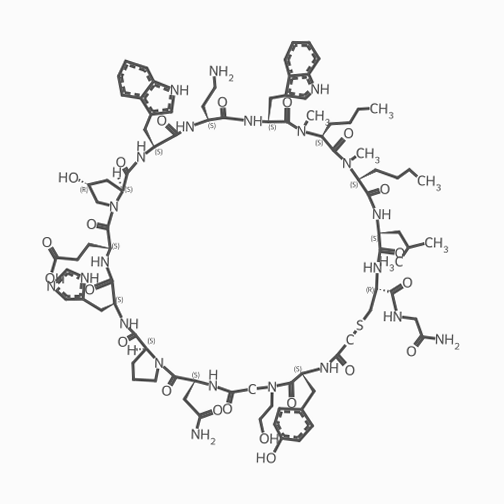 CCCC[C@H]1C(=O)N(C)[C@@H](CCCC)C(=O)N[C@@H](CC(C)C)C(=O)N[C@H](C(=O)NCC(N)=O)CSCC(=O)N[C@@H](Cc2ccc(O)cc2)C(=O)N(CCO)CC(=O)N[C@@H](CC(N)=O)C(=O)N2CCC[C@H]2C(=O)N[C@@H](Cc2cnc[nH]2)C(=O)N[C@@H](CCC(=O)O)C(=O)N2C[C@H](O)C[C@H]2C(=O)N[C@@H](Cc2c[nH]c3ccccc23)C(=O)N[C@@H](CCN)C(=O)N[C@@H](Cc2c[nH]c3ccccc23)C(=O)N1C